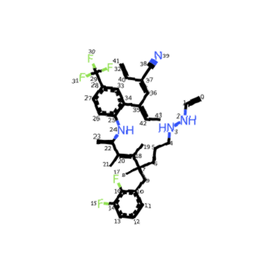 C=CNNCCCC(C)(Cc1cccc(F)c1F)/C(C)=C(\C)C(=C)Nc1ccc(C(F)(F)F)cc1C(/C=C(/C#N)C=C)=C/C